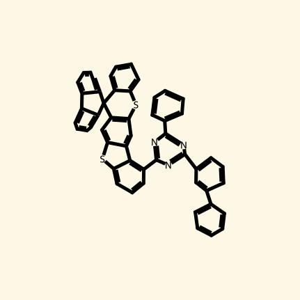 c1ccc(-c2cccc(-c3nc(-c4ccccc4)nc(-c4cccc5sc6cc7c(cc6c45)Sc4ccccc4C74c5ccccc5-c5ccccc54)n3)c2)cc1